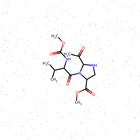 COC(=O)NC(C(=O)N1C(C(=O)OC)CNC1C(C)=O)C(C)C